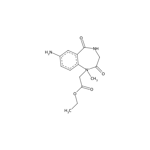 CCOC(=O)C[N+]1(C)C(=O)CNC(=O)c2cc(N)ccc21